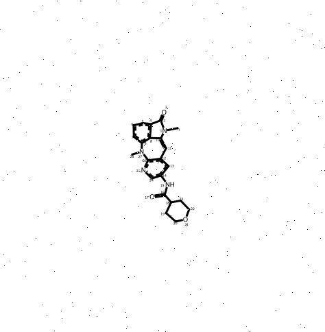 CN1C(=O)c2cccc3c2C1=Cc1cc(NC(=O)C2CCOCC2)cnc1N3C